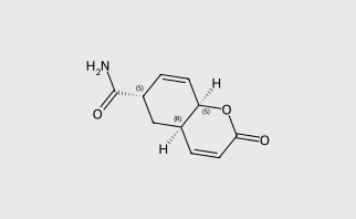 NC(=O)[C@@H]1C=C[C@H]2OC(=O)C=C[C@H]2C1